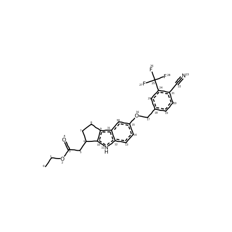 CCOC(=O)CC1CCc2c1[nH]c1ccc(OCc3ccc(C#N)c(C(F)(F)F)c3)cc21